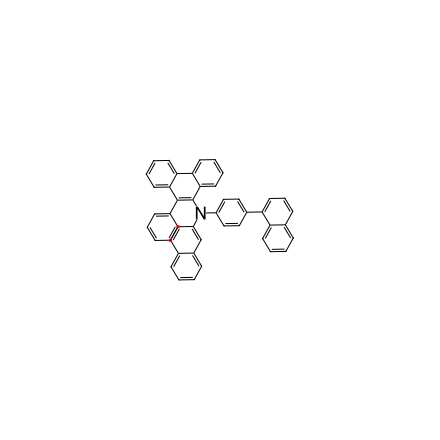 c1ccc(-c2c(N(c3ccc(-c4cccc5ccccc45)cc3)c3ccc4ccccc4c3)c3ccccc3c3ccccc23)cc1